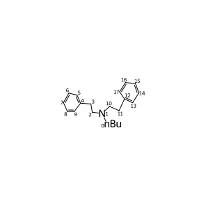 CCCCN(CCc1ccccc1)CCc1ccccc1